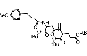 COc1ccc(CCCC(=O)NC(CC(=O)NC(CCC(=O)OC(C)(C)C)C(=O)OC(C)(C)C)C(=O)OC(C)(C)C)cc1